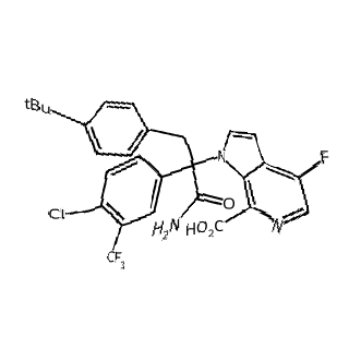 CC(C)(C)c1ccc(CC(C(N)=O)(c2ccc(Cl)c(C(F)(F)F)c2)n2ccc3c(F)cnc(C(=O)O)c32)cc1